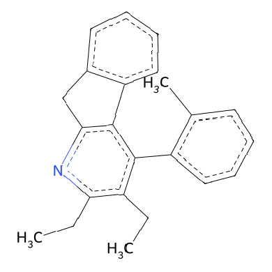 CCc1nc2c(c(-c3ccccc3C)c1CC)-c1ccccc1C2